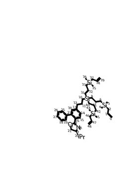 C=CC[Si](C)(C)CCC[Si](CCCc1ccc(C2=N[C@@H](C(C)C)CO2)c(-c2ccccc2)c1)(CCC[Si](C)(C)CC=C)CCC[Si](C)(C)CC=C